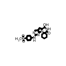 CS(=O)(=O)c1ccc(Nc2ncc3cc4n(c3n2)C2(CCCCC2)C(=O)NC4O)cc1